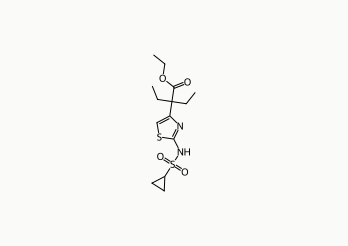 CCOC(=O)C(CC)(CC)c1csc(NS(=O)(=O)C2CC2)n1